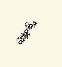 O=C(NC(=O)c1c(F)cccc1F)Nc1ccc(Oc2ncc(C(F)(F)F)cc2Cl)cc1